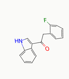 O=C(Cc1ccccc1F)c1c[nH]c2ccccc12